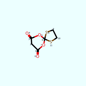 O=C1CC(=O)OC2(O1)SCCS2